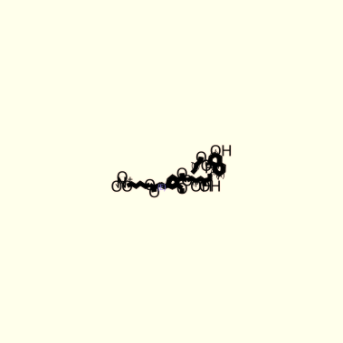 CC[C@H](C)C(=O)O[C@H]1C[C@H](O)C=C2C=C[C@H](C)[C@H](CCC(O)C[C@H](O)COC(=O)c3ccc(/C=C/C(=O)OCCCCO[N+](=O)[O-])cc3OC)[C@H]21